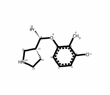 Cc1c(Cl)cccc1O[C@@H](C(C)C)[C@@H]1CCNC1